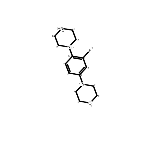 Fc1cc(N2CCOCC2)ccc1N1CCNCC1